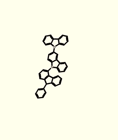 c1ccc(C2c3ccccc3-c3c2cccc3-n2c3ccccc3c3cc(-n4c5ccccc5c5ccccc54)ccc32)cc1